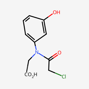 O=C(O)CN(C(=O)CCl)c1cccc(O)c1